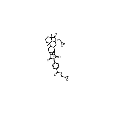 CC(C)C1=C2C3CCC4C(C)(C(=O)OCC5CO5)CCCC4(C)C3CC1C1C(=O)N(c3ccc(C(=O)OCC4CO4)cc3)C(=O)C21